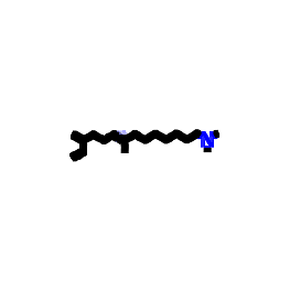 C=CC(=C)CC/C=C(\C)CCCCCCCN(C)C